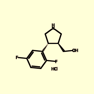 Cl.OC[C@@H]1CNC[C@H]1c1cc(F)ccc1F